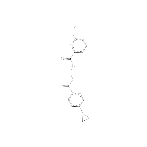 COc1cccc(C(=N)NOCC(=O)c2ccc(C3CC3)cc2)n1